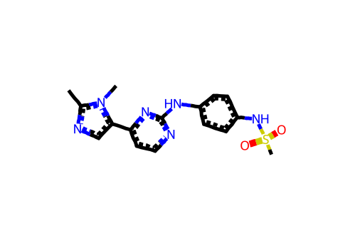 Cc1ncc(-c2ccnc(Nc3ccc(NS(C)(=O)=O)cc3)n2)n1C